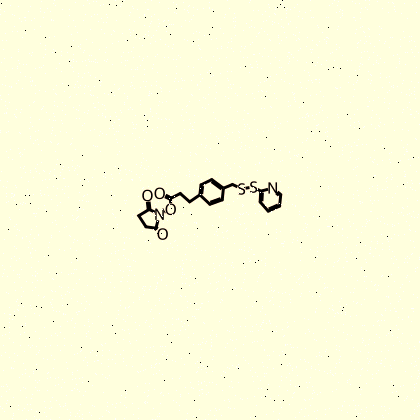 O=C(CCc1ccc(CSSc2ccccn2)cc1)ON1C(=O)CCC1=O